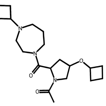 CC(=O)N1CC(OC2CCC2)CC1C(=O)N1CCCN(C2CCC2)CC1